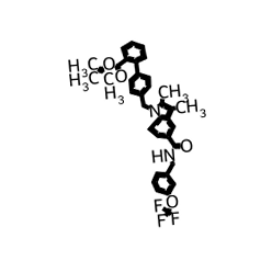 Cc1c(C)n(Cc2ccc(-c3ccccc3C(=O)OC(C)(C)C)cc2)c2ccc(C(=O)NCc3cccc(OC(F)(F)F)c3)cc12